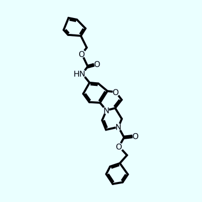 O=C(Nc1ccc2c(c1)OC=C1CN(C(=O)OCc3ccccc3)C=CN12)OCc1ccccc1